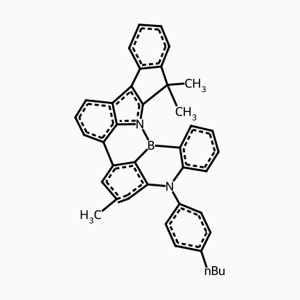 CCCCc1ccc(N2c3ccccc3B3c4c(cc(C)cc42)-c2cccc4c5c(n3c24)C(C)(C)c2ccccc2-5)cc1